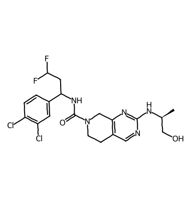 C[C@@H](CO)Nc1ncc2c(n1)CN(C(=O)NC(CC(F)F)c1ccc(Cl)c(Cl)c1)CC2